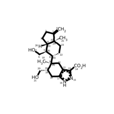 C=C1CC[C@H]2[C@H](CO)[C@@H]([C@@]3(C)Cc4c(C(=O)O)n[nH]c4C[C@@H]3CO)CC[C@]12C